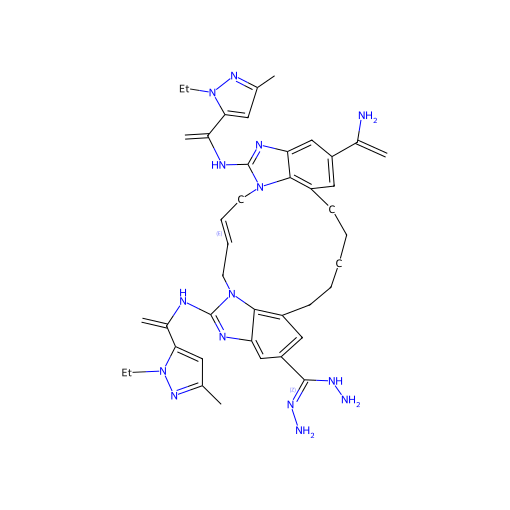 C=C(N)c1cc2c3c(c1)nc(NC(=C)c1cc(C)nn1CC)n3C/C=C/Cn1c(NC(=C)c3cc(C)nn3CC)nc3cc(/C(=N/N)NN)cc(c31)CCCCC2